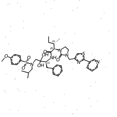 CC[C@H](C)[C@H](C(=O)N[C@@H](Cc1ccccc1)C(O)(O)CN(CC(C)C)S(=O)(=O)c1ccc(OC)cc1)N1CCN(Cc2csc(-c3cccnc3)n2)C1=O